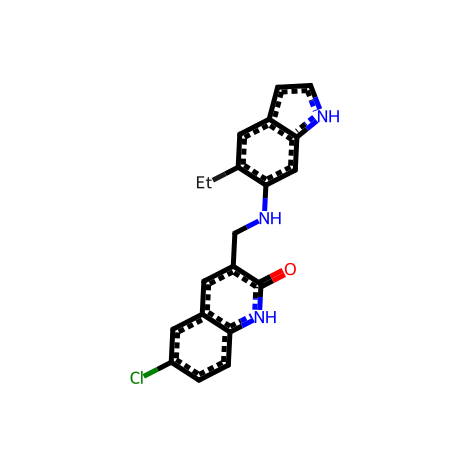 CCc1cc2cc[nH]c2cc1NCc1cc2cc(Cl)ccc2[nH]c1=O